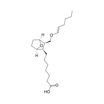 CCCC/C=C/OC[C@H]1[C@@H](CCCCCCC(=O)O)[C@H]2CC[C@@H]1O2